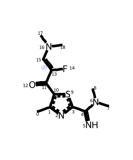 Cc1nc(C(=N)N(C)C)sc1C(=O)/C(F)=C/N(C)C